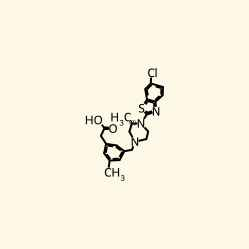 Cc1cc(CC(=O)O)cc(CN2CCN(c3nc4ccc(Cl)cc4s3)[C@H](C)C2)c1